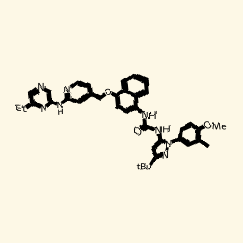 CCc1cncc(Nc2cc(COc3ccc(NC(=O)Nc4cc(C(C)(C)C)nn4-c4ccc(OC)c(C)c4)c4ccccc34)ccn2)n1